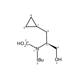 CC(C)(C)N(C(=O)O)[C@H](CO)CC1CC1